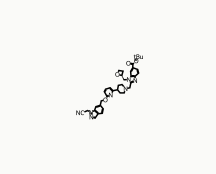 CC(C)(C)OC(=O)c1ccc2nc(CN3CCC(c4cccc(OCc5ccc6cnn(CC#N)c6c5)n4)CC3)n(C[C@@H]3CCO3)c2c1